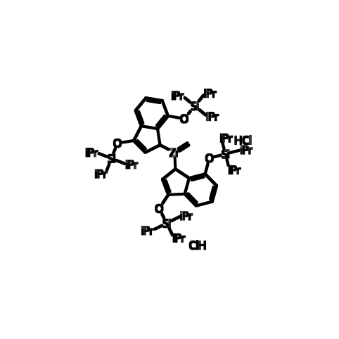 Cl.Cl.[CH2]=[Zr]([CH]1C=C(O[Si](C(C)C)(C(C)C)C(C)C)c2cccc(O[Si](C(C)C)(C(C)C)C(C)C)c21)[CH]1C=C(O[Si](C(C)C)(C(C)C)C(C)C)c2cccc(O[Si](C(C)C)(C(C)C)C(C)C)c21